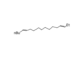 [CH2]CC=CCCCCCCCCC=CCCCC